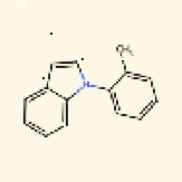 Cc1ccccc1-n1ccc2ccccc21